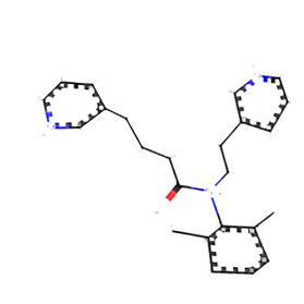 Cc1cccc(C)c1N(CCc1cccnc1)C(=O)CCCc1cccnc1